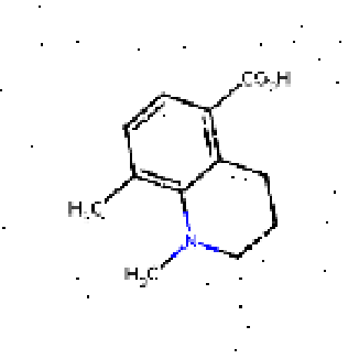 Cc1ccc(C(=O)O)c2c1N(C)CCC2